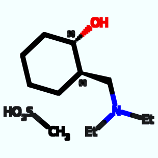 CCN(CC)C[C@H]1CCCC[C@@H]1O.CS(=O)(=O)O